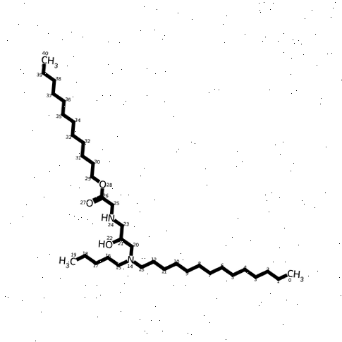 CCCCCCCCCCCCCCN(CCCCC)CC(O)CNCC(=O)OCCCCCCCCCCCC